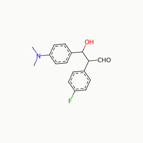 CN(C)c1ccc(C(O)C(C=O)c2ccc(F)cc2)cc1